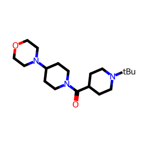 CC(C)(C)N1CCC(C(=O)N2CCC(N3CCOCC3)CC2)CC1